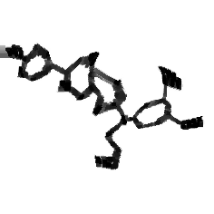 COC1=CC(N(CCO)c2ccc3c(c2)CN=C(c2ccc(OC)nc2)C=N3)=CCC(OC)=C1